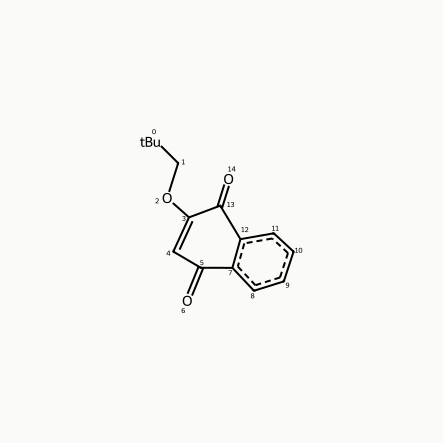 CC(C)(C)COC1=CC(=O)c2ccccc2C1=O